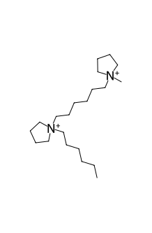 CCCCCC[N+]1(CCCCCC[N+]2(C)CCCC2)CCCC1